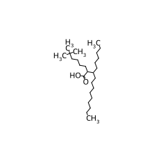 CCCCCCCCCC(CCCCCC)C(CCCCC(C)(C)C)C(=O)O